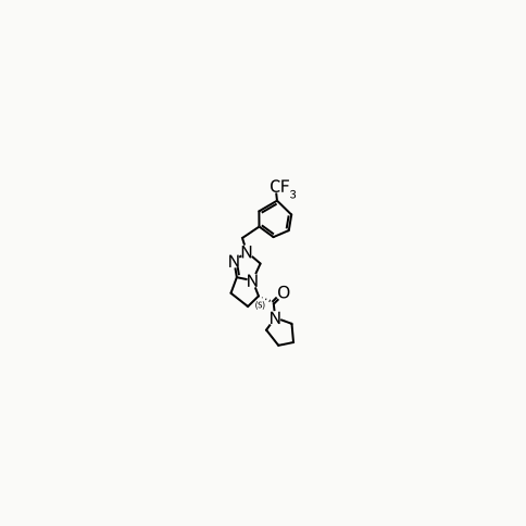 O=C([C@@H]1CCC2=NN(Cc3cccc(C(F)(F)F)c3)CN21)N1CCCC1